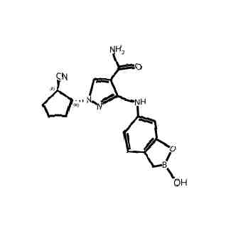 N#C[C@@H]1CCC[C@H]1n1cc(C(N)=O)c(Nc2ccc3c(c2)OB(O)C3)n1